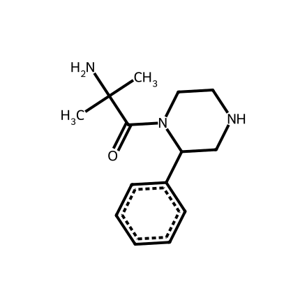 CC(C)(N)C(=O)N1CCNCC1c1ccccc1